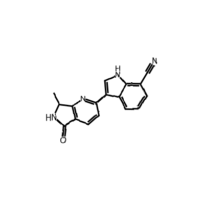 CC1NC(=O)c2ccc(-c3c[nH]c4c(C#N)cccc34)nc21